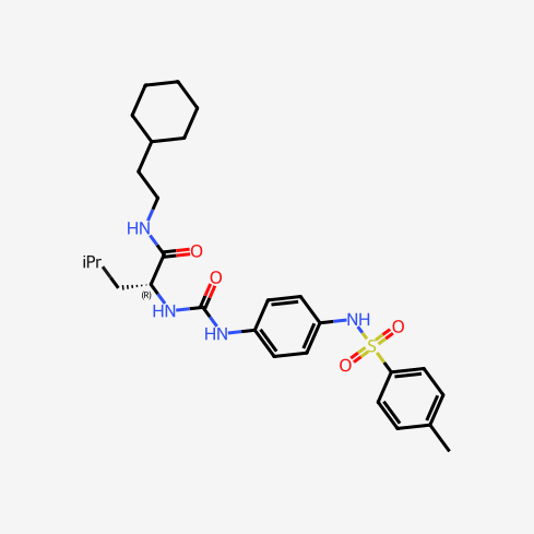 Cc1ccc(S(=O)(=O)Nc2ccc(NC(=O)N[C@H](CC(C)C)C(=O)NCCC3CCCCC3)cc2)cc1